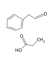 CCC(=O)O.O=CCc1ccccc1